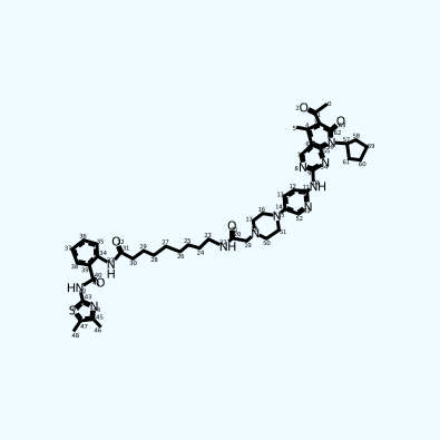 CC(=O)c1c(C)c2cnc(Nc3ccc(N4CCN(CC(=O)NCCCCCCCCC(=O)Nc5ccccc5C(=O)Nc5nc(C)c(C)s5)CC4)cn3)nc2n(C2CCCC2)c1=O